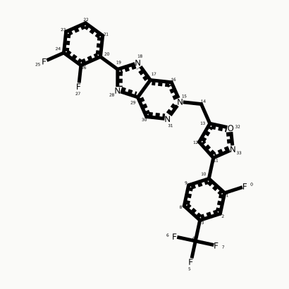 Fc1cc(C(F)(F)F)ccc1-c1cc(Cn2cc3nc(-c4cccc(F)c4F)nc-3cn2)on1